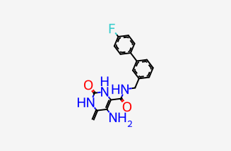 C=C1NC(=O)NC(C(=O)NCc2cccc(-c3ccc(F)cc3)c2)=C1N